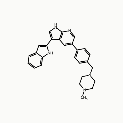 CN1CCN(Cc2ccc(-c3cnc4[nH]cc(-c5cc6ccccc6[nH]5)c4c3)cc2)CC1